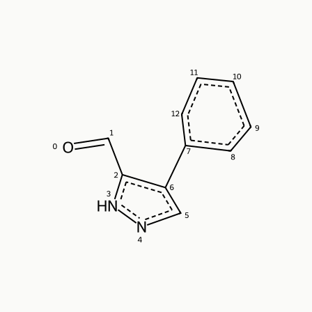 O=Cc1[nH]ncc1-c1ccccc1